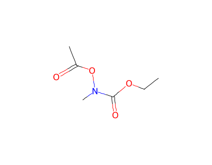 CCOC(=O)N(C)OC(C)=O